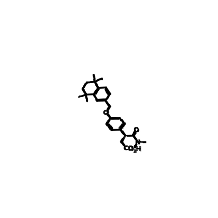 CN(C)C(=O)[C@@H](CC(=O)O)c1ccc(OCc2ccc3c(c2)C(C)(C)CCC3(C)C)cc1